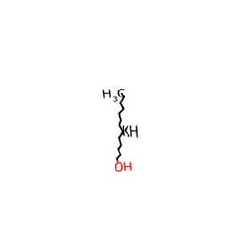 CCCCCCCCCCCCCO.[KH]